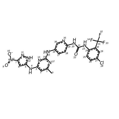 Cc1cc(Nc2cc([N+](=O)[O-])n[nH]2)nc(Nc2ccc(NC(=O)Nc3ccc(Cl)cc3C(F)(F)F)nc2)n1